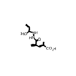 C=C[C](O)NNC(=O)C(=C)C=C(C)C(=O)O